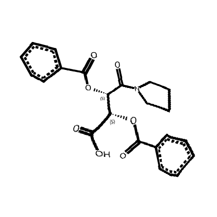 O=C(O[C@H](C(=O)O)[C@H](OC(=O)c1ccccc1)C(=O)N1CCCC1)c1ccccc1